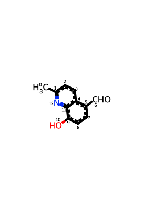 Cc1ccc2c(C=O)ccc(O)c2n1